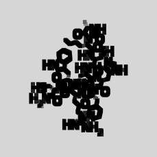 CCCC[C@@H](C(=O)N[C@@H](CS)C(=O)N[C@H](C)C(=O)N[C@@H](Cc1cnc[nH]1)C(=O)N[C@H](Cc1ccccc1)C(=O)N[C@@H](CCCNC(=N)N)C(=O)N[C@@H](Cc1c[nH]c2ccccc12)C(=O)N[C@@H](CS)C(N)=O)N1C(=O)N[C@@H](C)C1=O